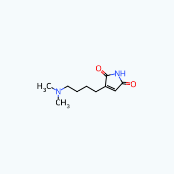 CN(C)CCCCC1=CC(=O)NC1=O